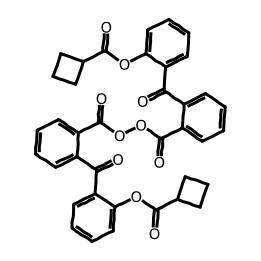 O=C(OOC(=O)c1ccccc1C(=O)c1ccccc1OC(=O)C1CCC1)c1ccccc1C(=O)c1ccccc1OC(=O)C1CCC1